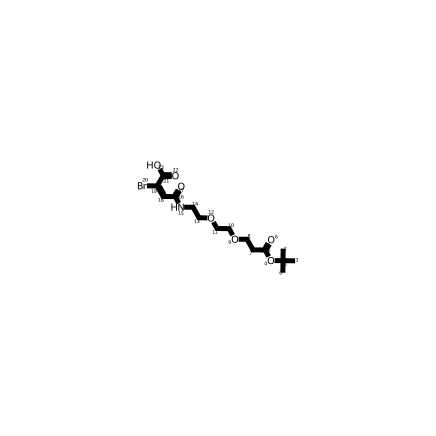 CC(C)(C)OC(=O)CCOCCOCCNC(=O)/C=C(/Br)C(=O)O